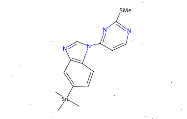 CSc1nccc(-n2cnc3c[c]([Sn]([CH3])([CH3])[CH3])ccc32)n1